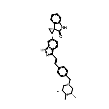 C[C@@H]1CN(Cc2ccc(C=Cc3n[nH]c4cc([C@@H]5C[C@@]56C(=O)Nc5ccccc56)ccc34)cc2)C[C@H](C)N1C